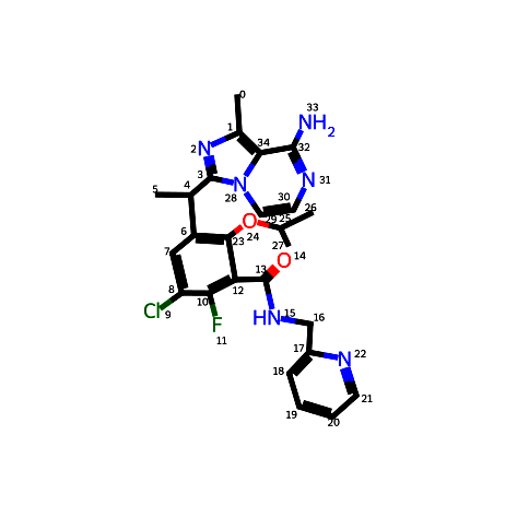 Cc1nc(C(C)c2cc(Cl)c(F)c(C(=O)NCc3ccccn3)c2OC(C)C)n2ccnc(N)c12